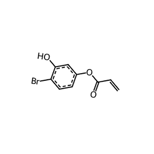 C=CC(=O)Oc1ccc(Br)c(O)c1